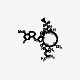 COc1cc(F)cc2c(O[C@@H]3C[C@H]4C(=O)N[C@]5(C(=O)NS(=O)(=O)C6CC6)C[C@H]5C=CCC[C@H](C)C[C@@H](C)[C@H](NC(=O)O[C@H](C)C(F)(F)F)C(=O)N4C3)nccc12